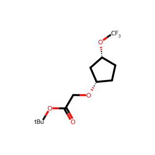 CC(C)(C)OC(=O)CO[C@H]1CC[C@@H](OC(F)(F)F)C1